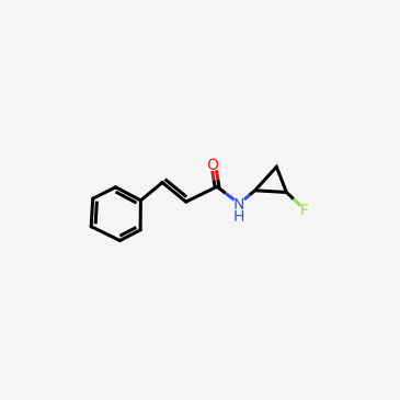 O=C(C=Cc1ccccc1)NC1CC1F